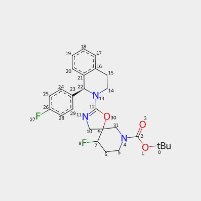 CC(C)(C)OC(=O)N1CCC(F)C2(CN=C(N3CCc4ccccc4[C@@H]3c3ccc(F)cc3)O2)C1